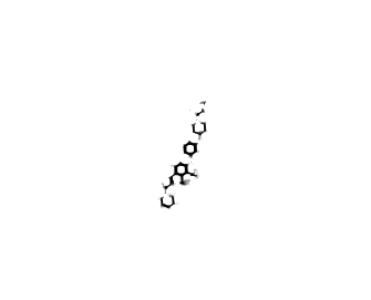 COCC(=O)N1CCC(Nc2cccc(Sc3ccc(/C=C/C(=O)N4CC=CCC4)c(C(F)(F)F)c3C(F)(F)F)c2)CC1